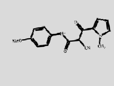 COc1ccc(NC(=O)C(C#N)C(=O)c2cccn2C)cc1